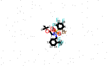 CC(C)(C)OC(=O)CN(Cc1ccccc1C(F)(F)F)S(=O)(=O)c1c(Br)cc(F)c(F)c1F